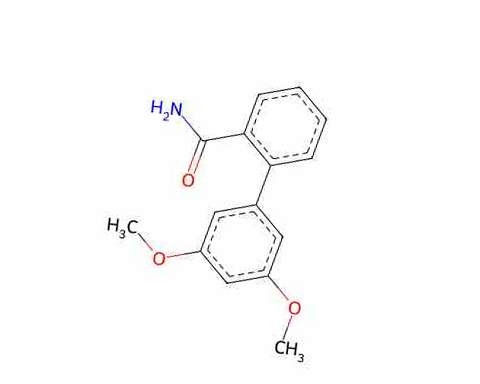 COc1cc(OC)cc(-c2ccccc2C(N)=O)c1